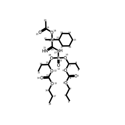 CCCOC(=O)OC(CC)OP(=O)(NC(=N)[N+](C)(OC(C)=O)C1CCCCC1)OC(CC)OC(=O)OCCC